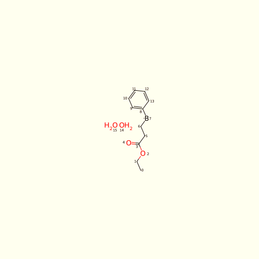 CCOC(=O)CC[B]c1ccccc1.O.O